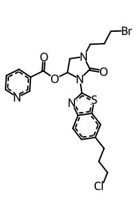 O=C(OC1CN(CCCBr)C(=O)N1c1nc2ccc(CCCCl)cc2s1)c1cccnc1